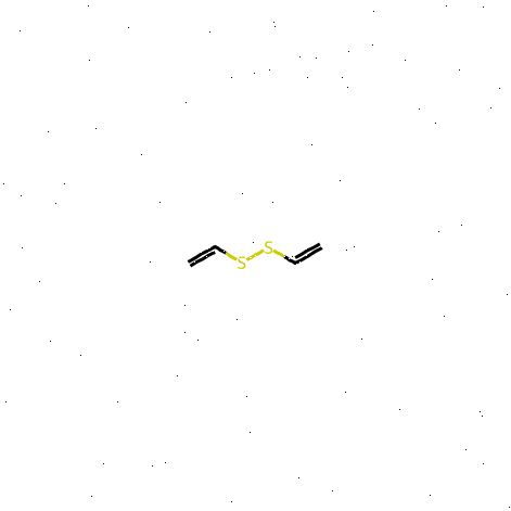 C=CSSC=C